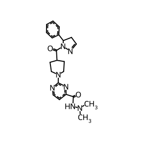 CN(C)NC(=O)c1ccnc(N2CCC(C(=O)N3N=CCC3c3ccccc3)CC2)n1